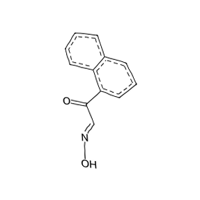 O=C(C=NO)c1cccc2ccccc12